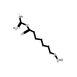 C=C(CCC)OC(=O)CCCCCCO[C]=O